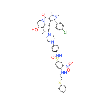 Cc1c2c(c(-c3ccc(Cl)cc3)n1C)C1(C)C=C(N3CCN(c4ccc(N[S+]([O-])c5ccc(NCCSc6ccccc6)c([N+](=O)[O-])c5)cc4)CC3)C(C)C3=C1N(CCC3O)C2=O